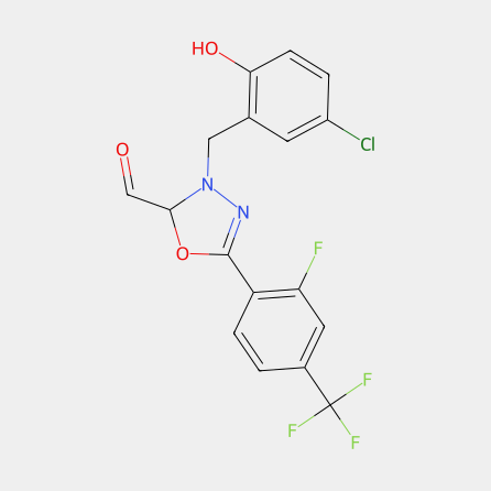 O=CC1OC(c2ccc(C(F)(F)F)cc2F)=NN1Cc1cc(Cl)ccc1O